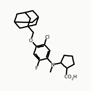 CN(c1cc(Cl)c(OCC23CC4CC(CC(C4)C2)C3)cc1F)C1CCCC1C(=O)O